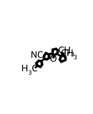 Cc1ccc(-c2cc3oc4c(-c5cccc[n+]5C)c(C)ccc4c3cc2C#N)cc1